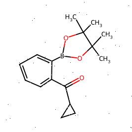 CC1(C)OB(c2ccccc2C(=O)C2CC2)OC1(C)C